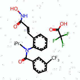 CC(C)N(C(=O)c1cccc(C(F)(F)F)c1)c1ccccc1/C=C/C(=O)NO.O=C(O)C(F)(F)F